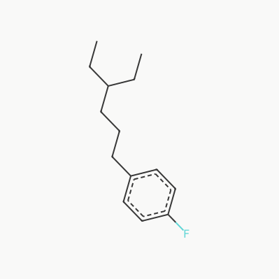 CCC(CC)CCCc1ccc(F)cc1